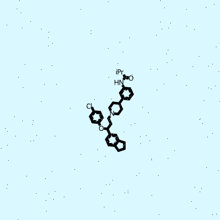 CC(C)C(=O)Nc1cccc(C2CCN(CCC(Oc3ccc(Cl)cc3)c3ccc4c(c3)CCC4)CC2)c1